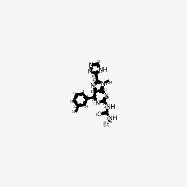 CCNC(=O)Nc1nc(-c2cccc(C)c2)c2nc(-c3nnc[nH]3)n(C)c2n1